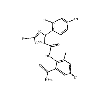 CNC(=O)c1cc(Cl)cc(C)c1NC(=O)c1cc(Br)nn1-c1ccc(C#N)cc1Cl